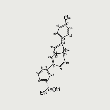 CCC(O)c1cccc(-c2ccc3nc(-c4ccc(Cl)cc4)cn3c2)c1